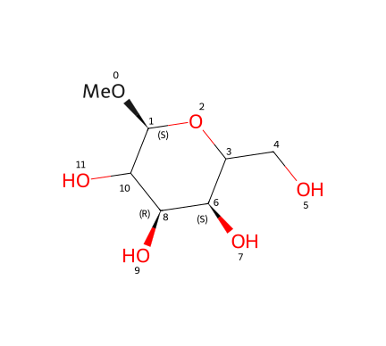 CO[C@H]1OC(CO)[C@@H](O)[C@@H](O)C1O